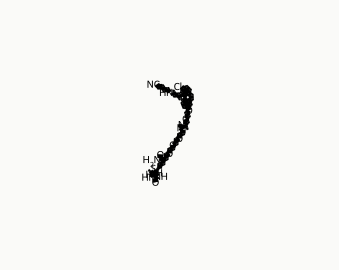 N#C/C=C/CCNCCCCN1c2ccc(OCCOCc3cn(CCOCCOCCOCCC(CCC[C@@H]4SC[C@@H]5NC(=O)N[C@@H]54)C(N)=O)nn3)cc2CCc2ccc(Cl)cc21